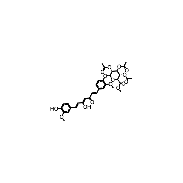 COC(=O)[C@H]1O[C@@H](Oc2ccc(/C=C/C(=O)/C=C(O)/C=C/c3ccc(O)c(OC)c3)cc2OC)[C@H](OC(C)=O)[C@@H](OC(C)=O)[C@@H]1OC(C)=O